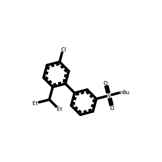 CCCCS(=O)(=O)c1cccc(-c2cc(Cl)ccc2C(CC)CC)c1